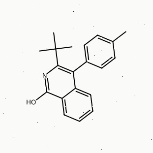 Cc1ccc(-c2c(C(C)(C)C)nc(O)c3ccccc23)cc1